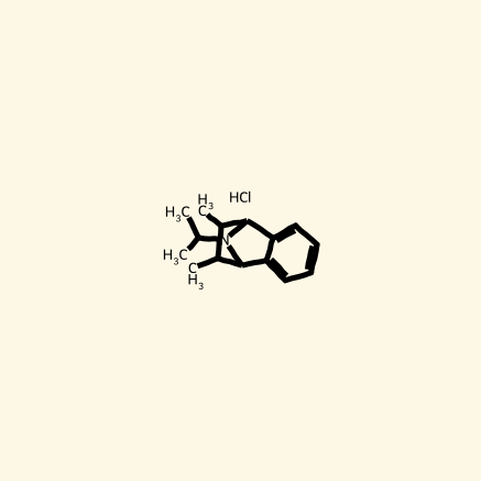 CC1C(C)C2c3ccccc3C1N2C(C)C.Cl